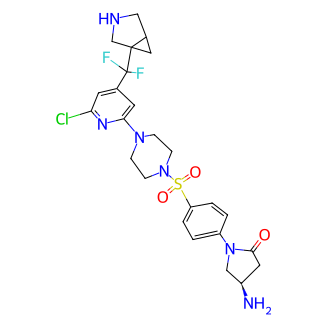 N[C@@H]1CC(=O)N(c2ccc(S(=O)(=O)N3CCN(c4cc(C(F)(F)C56CNCC5C6)cc(Cl)n4)CC3)cc2)C1